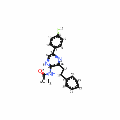 CC(=O)Nc1ncc(-c2ccc(F)cc2)nc1CCc1ccccc1